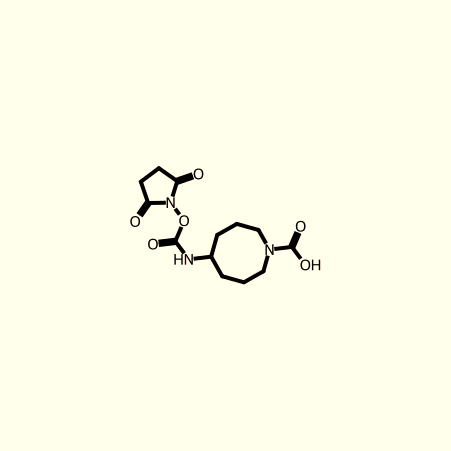 O=C(NC1CCCN(C(=O)O)CCC1)ON1C(=O)CCC1=O